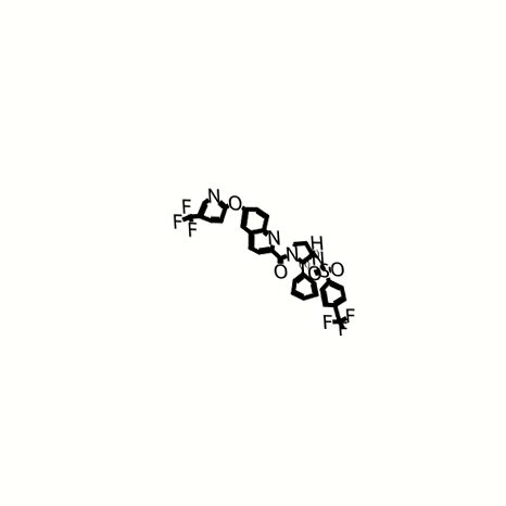 O=C(c1ccc2cc(Oc3ccc(C(F)(F)F)cn3)ccc2n1)N1CC[C@H](NS(=O)(=O)c2ccc(C(F)(F)F)cc2)[C@H]1c1ccccc1